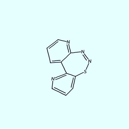 c1cnc2c(c1)SN=Nc1ncccc1-2